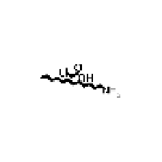 CCCCCCCCCCCCN.O=C(O)CCl